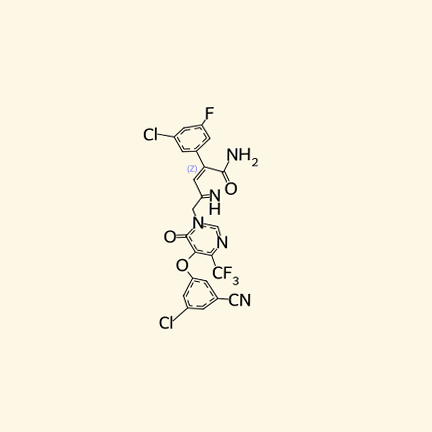 N#Cc1cc(Cl)cc(Oc2c(C(F)(F)F)ncn(CC(=N)/C=C(\C(N)=O)c3cc(F)cc(Cl)c3)c2=O)c1